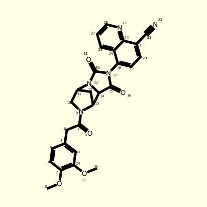 COc1ccc(CC(=O)N2CC3CC2C2C(=O)N(c4ccc(C#N)c5ncccc45)C(=O)N32)cc1OC